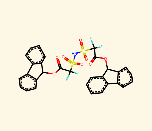 O=C(OC1c2ccccc2-c2ccccc21)C(F)(F)S(=O)(=O)NS(=O)(=O)C(F)(F)C(=O)OC1c2ccccc2-c2ccccc21